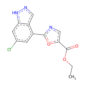 CCOC(=O)c1cnc(-c2cc(Cl)cc3[nH]ncc23)o1